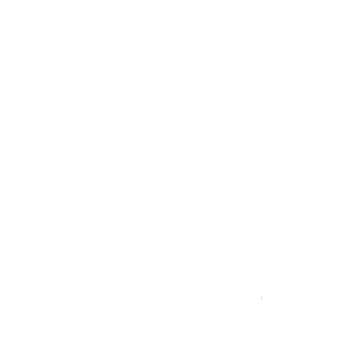 Cc1ccc(C=C/C=C/C=C/C(=O)O)cc1C